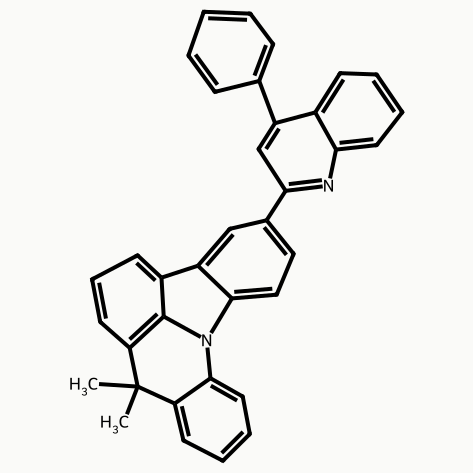 CC1(C)c2ccccc2-n2c3ccc(-c4cc(-c5ccccc5)c5ccccc5n4)cc3c3cccc1c32